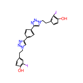 Oc1ccc(CCn2cc(-c3ccc(-c4cn(CCc5ccc(O)c(I)c5)nn4)cc3)nn2)cc1I